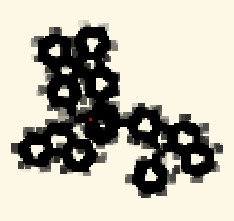 c1ccc(-c2ccc3c(c2)C2(c4ccccc4-3)c3ccccc3-c3ccc(N(c4ccc(-c5ccc6c7ccc8ccccc8c7n(-c7ccccc7)c6c5)cc4)c4cc5ccccc5c5ccccc45)cc32)cc1